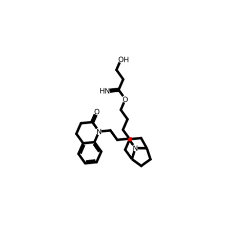 N=C(CCO)OCCCC1CC2CCC(C1)N2CCCN1C(=O)CCc2ccccc21